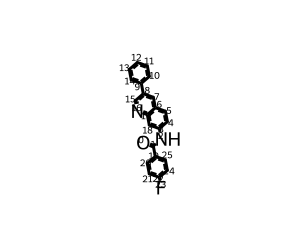 O=C(Nc1ccc2cc(-c3ccccc3)cnc2c1)c1ccc(F)cc1